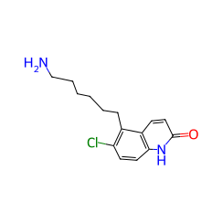 NCCCCCCc1c(Cl)ccc2[nH]c(=O)ccc12